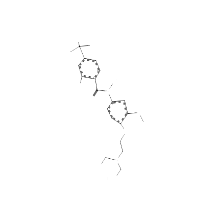 CCN(CC)CCOc1ccc(N(C)C(=O)c2ccc(C(F)(F)F)cc2Cl)cc1OC